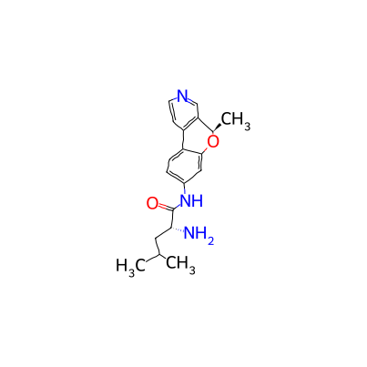 CC(C)C[C@@H](N)C(=O)Nc1ccc2c(c1)O[C@H](C)c1cnccc1-2